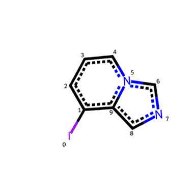 Ic1cccn2cncc12